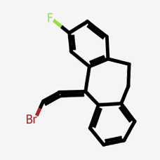 Fc1ccc2c(c1)C(=C=CBr)c1ccccc1CC2